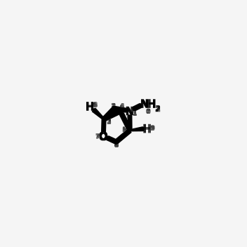 NN1C[C@@H]2C[C@H]1CO2